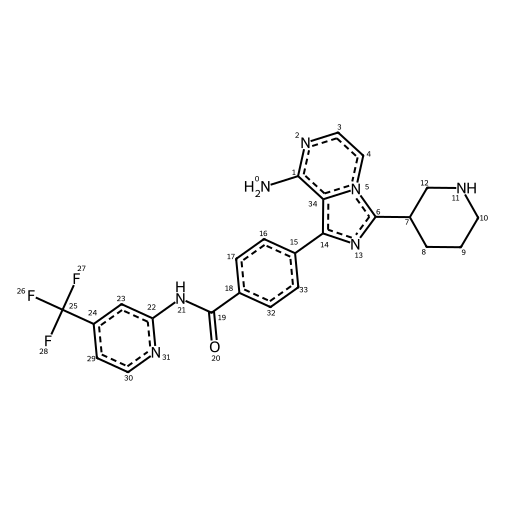 Nc1nccn2c(C3CCCNC3)nc(-c3ccc(C(=O)Nc4cc(C(F)(F)F)ccn4)cc3)c12